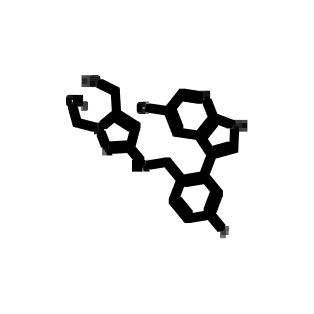 CCn1nc(NCc2ccc(F)cc2-c2c[nH]c3ncc(Cl)cc23)cc1CO